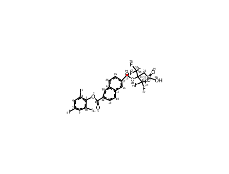 O=C(Oc1c(I)cc(I)cc1I)c1ccc2cc(C(=O)OC(CS(=O)(=O)O)(C(F)(F)F)C(F)(F)F)ccc2c1